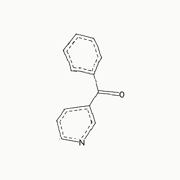 O=C(c1ccccc1)c1cc[c]nc1